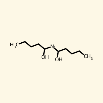 CCCCC(O)[N]C(O)CCCC